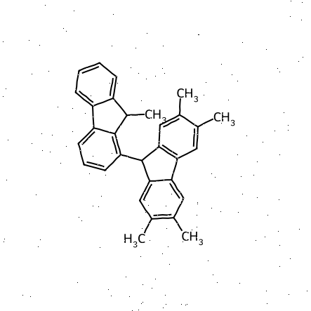 Cc1cc2c(cc1C)C(c1cccc3c1C(C)c1ccccc1-3)c1cc(C)c(C)cc1-2